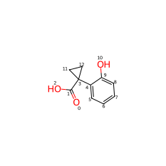 O=C(O)C1(c2ccccc2O)CC1